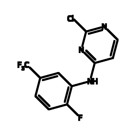 Fc1ccc(C(F)(F)F)cc1Nc1ccnc(Cl)n1